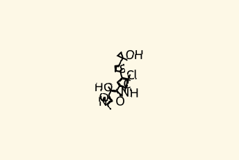 Cc1cc(C(O)=C2C(=O)Nc3cc(Cl)c(-c4ccc(C5(CO)CC5)s4)cc32)on1